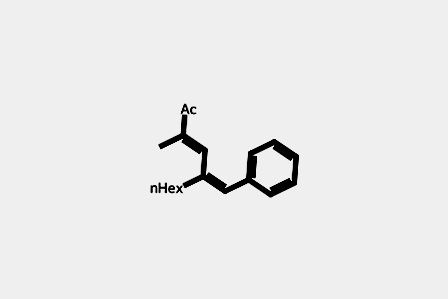 CCCCCCC(=Cc1ccccc1)C=C(C)C(C)=O